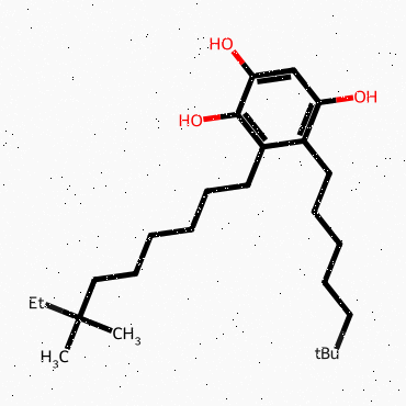 CCC(C)(C)CCCCCCc1c(O)c(O)cc(O)c1CCCCCC(C)(C)C